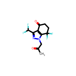 CC(=O)Cn1nc(C(F)F)c2c1C(F)(F)CCC2=O